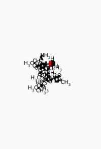 CCN1CCN(C(=O)NC(C(=O)N[C@@H](Cc2ccc(SCCN)c(C(=O)OC(C)(C)C)c2OC(=O)OC(C)(C)C)B2O[C@@H]3C[C@@H]4C[C@@H](C4(C)C)[C@]3(C)O2)c2csc(NC(=O)OC(C)(C)C)n2)C(=O)C1=O